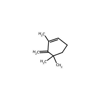 C=C1C(C)=CCCC1(C)C